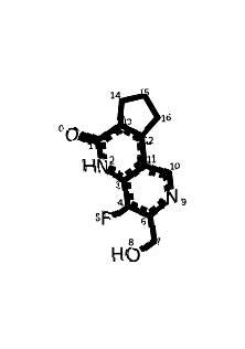 O=c1[nH]c2c(F)c(CO)ncc2c2c1CCC2